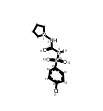 O=C(NN1CCCC1)N(I)S(=O)(=O)c1ccc(Cl)cc1